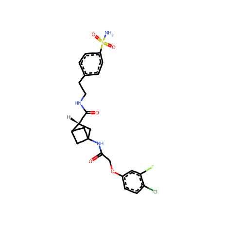 NS(=O)(=O)c1ccc(CCNC(=O)[C@@H]2CC3(NC(=O)COc4ccc(Cl)c(F)c4)CC2C3)cc1